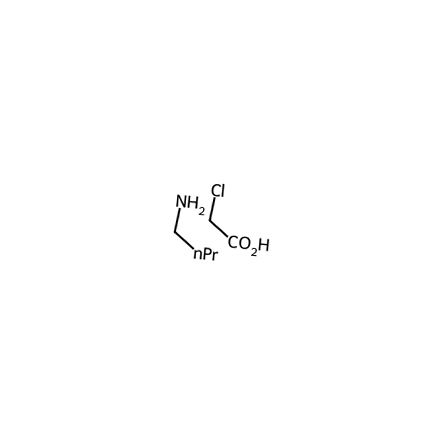 CCCCN.O=C(O)CCl